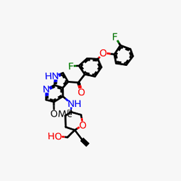 C#CC1(CO)CC[C@@H](Nc2c(OC)cnc3[nH]cc(C(=O)c4ccc(Oc5ccccc5F)cc4F)c23)CO1